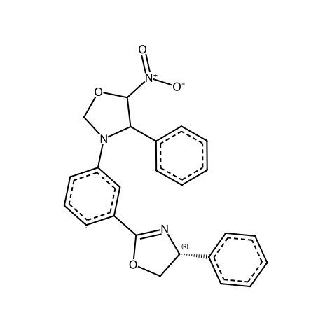 O=[N+]([O-])C1OCN(c2cc[c]c(C3=N[C@H](c4ccccc4)CO3)c2)C1c1ccccc1